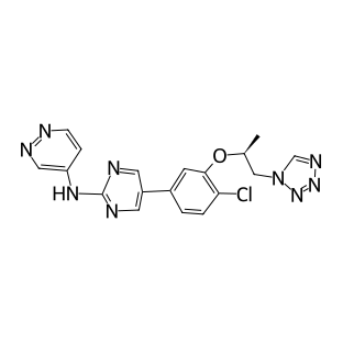 C[C@@H](Cn1cnnn1)Oc1cc(-c2cnc(Nc3ccnnc3)nc2)ccc1Cl